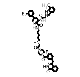 CCc1cccc(-c2cnc(C(=O)NCCCCCNCC(=O)N3CCN(C(=O)c4cc(Cc5n[nH]c(=O)c6ccccc56)ccc4F)CC3)c(NC(=O)CNCc3cccc(C)c3)c2)c1